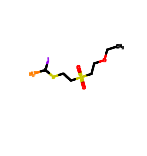 CCOCCS(=O)(=O)CCSB(P)I